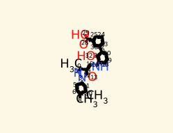 CC1=NN(c2ccc(C)c(C)c2)C(=O)C1=CNc1cccc(-c2cccc(C(=O)O)c2)c1O